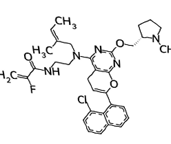 C=C(F)C(=O)NCCN(C/C(C)=C\C)c1nc(OC[C@@H]2CCCN2C)nc2c1CC=C(c1cccc3cccc(Cl)c13)O2